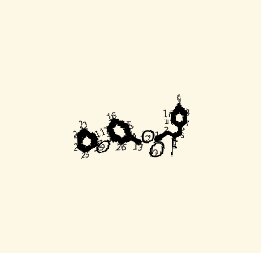 O=C(C/C(F)=C\c1ccccc1)OCc1cccc(Oc2ccccc2)c1